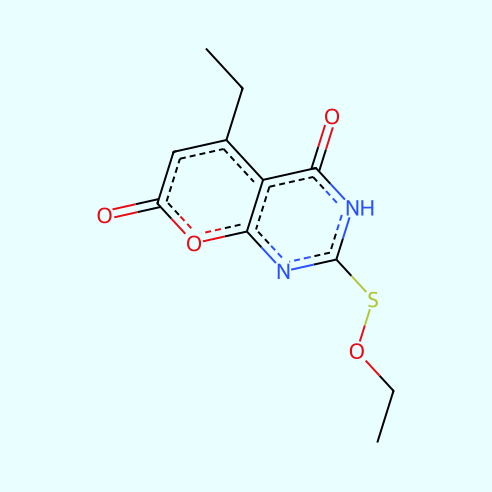 CCOSc1nc2oc(=O)cc(CC)c2c(=O)[nH]1